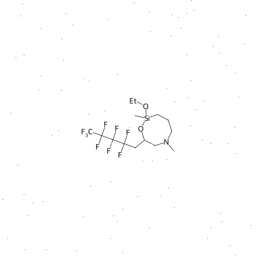 CCO[Si]1(C)CCCN(C)CC(CC(F)(F)C(F)(F)C(F)(F)C(F)(F)F)O1